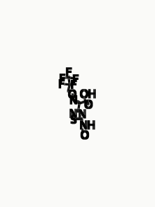 O=CNc1nc(C(=NOCC(F)(F)C(F)(F)F)C(=O)O)ns1